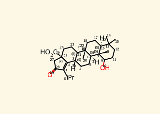 CC(C)C1=C2[C@H]3CC[C@@H]4[C@@]5(C)C(O)CCC(C)(C)[C@@H]5CC[C@@]4(C)[C@]3(C)CC[C@@]2(C(=O)O)CC1=O